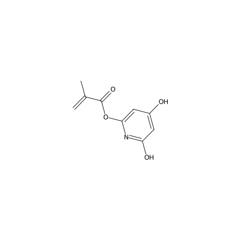 C=C(C)C(=O)Oc1cc(O)cc(O)n1